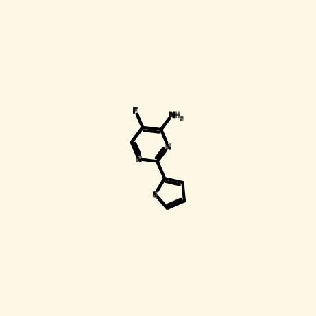 Nc1nc(-c2cccs2)ncc1F